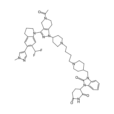 CC(=O)N1CCc2c(c(N3CCCc4cc(-c5cnn(C)c5)c(C(F)F)cc43)nn2C2CCN(CCCCN3CCC(Cn4c(=O)n(C5CCC(=O)NC5=O)c5ccccc54)CC3)CC2)C1